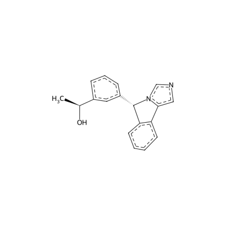 C[C@H](O)c1cccc([C@H]2c3ccccc3-c3cncn32)c1